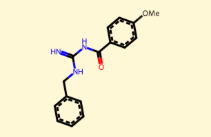 COc1ccc(C(=O)NC(=N)NCc2ccccc2)cc1